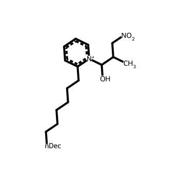 CCCCCCCCCCCCCCCCc1cccc[n+]1C(O)C(C)C[N+](=O)[O-]